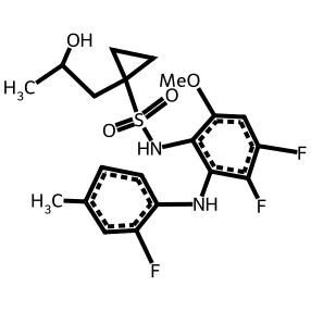 COc1cc(F)c(F)c(Nc2ccc(C)cc2F)c1NS(=O)(=O)C1(CC(C)O)CC1